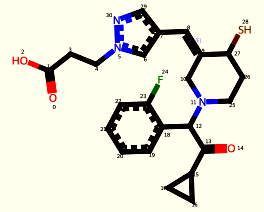 O=C(O)CCn1cc(/C=C2\CN(C(C(=O)C3CC3)c3ccccc3F)CCC2S)cn1